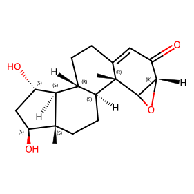 C[C@]12CC[C@H]3[C@@H](CCC4=CC(=O)[C@@H]5OC5[C@@]43C)[C@@H]1[C@@H](O)C[C@@H]2O